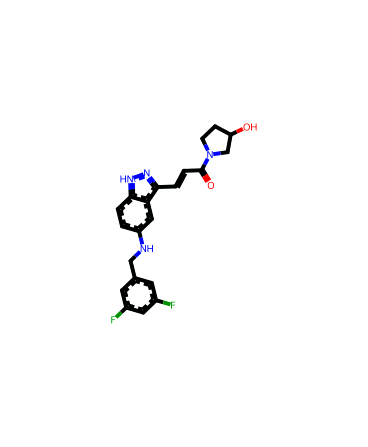 O=C(C=Cc1n[nH]c2ccc(NCc3cc(F)cc(F)c3)cc12)N1CCC(O)C1